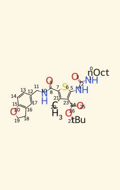 CCCCCCCCNC(=O)Nc1sc(C(=O)NCc2ccc3c(c2)CCO3)c(C)c1C(=O)OC(C)(C)C